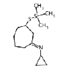 C[Si](C)(C)SC1CCCCC(=NC2CC2)C1